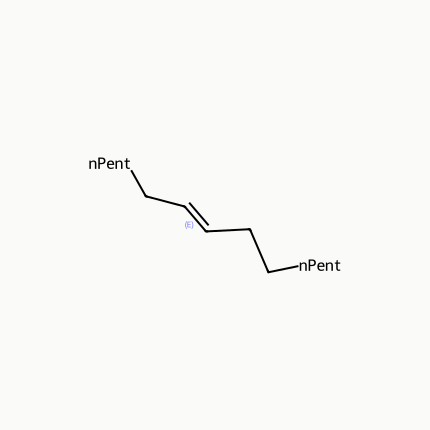 [CH2]CCCCCC/C=C/CCCCCC